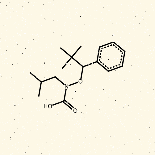 CC(C)CN(OC(c1ccccc1)C(C)(C)C)C(=O)O